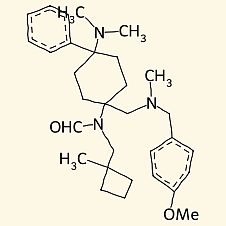 COc1ccc(CN(C)CC2(N(C=O)CC3(C)CCC3)CCC(c3ccccc3)(N(C)C)CC2)cc1